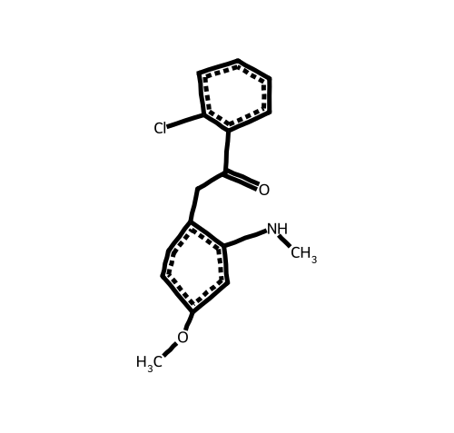 CNc1cc(OC)ccc1CC(=O)c1ccccc1Cl